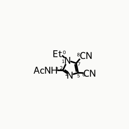 CCn1c(NC(C)=O)nc(C#N)c1C#N